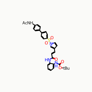 CC(=O)Nc1ccc(-c2ccc(S(=O)(=O)n3ccc(C=CC(=O)Nc4ccccc4NC(=O)OC(C)(C)C)c3)cc2)cc1